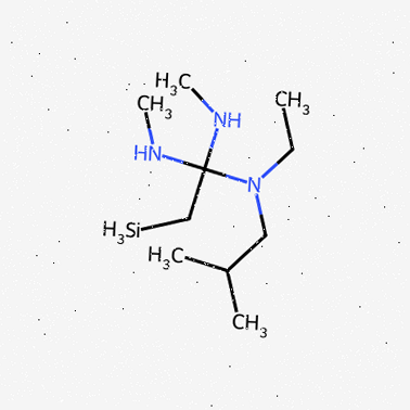 CCN(CC(C)C)C(C[SiH3])(NC)NC